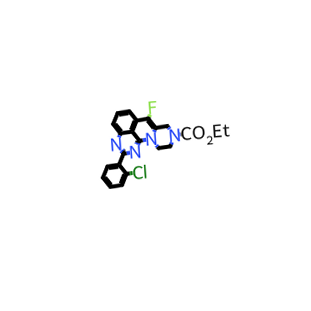 CCOC(=O)N1CCN2C(=C(F)c3cccc4nc(-c5ccccc5Cl)nc2c34)C1